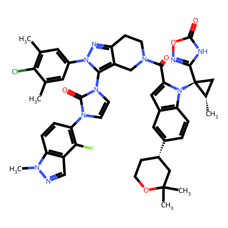 Cc1cc(-n2nc3c(c2-n2ccn(-c4ccc5c(cnn5C)c4F)c2=O)CN(C(=O)c2cc4cc([C@H]5CCOC(C)(C)C5)ccc4n2[C@@]2(c4noc(=O)[nH]4)C[C@@H]2C)CC3)cc(C)c1Cl